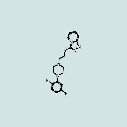 Fc1ccc(F)c(N2CCN(CCSc3nnc4ccccn34)CC2)c1